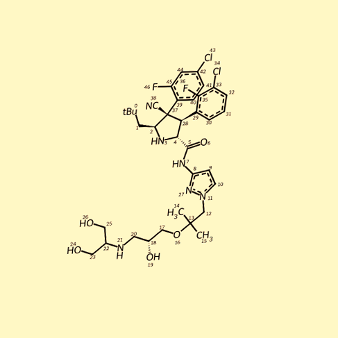 CC(C)(C)C[C@@H]1N[C@@H](C(=O)Nc2ccn(CC(C)(C)OC[C@H](O)CNC(CO)CO)n2)[C@H](c2cccc(Cl)c2F)[C@@]1(C#N)c1ccc(Cl)cc1F